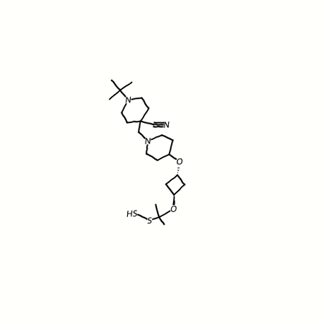 CC(C)(O[C@H]1C[C@H](OC2CCN(CC3(C#N)CCN(C(C)(C)C)CC3)CC2)C1)SS